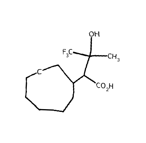 CC(O)(C(C(=O)O)C1CCCCCCC1)C(F)(F)F